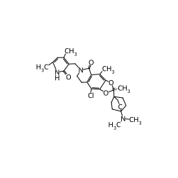 Cc1cc(C)c(CN2CCc3c(Cl)c4c(c(C)c3C2=O)O[C@@](C)(C23CCC(N(C)C)(CC2)CC3)O4)c(=O)[nH]1